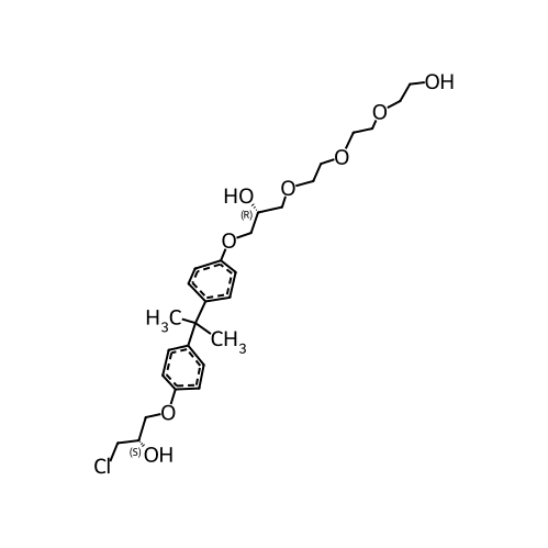 CC(C)(c1ccc(OC[C@H](O)CCl)cc1)c1ccc(OC[C@H](O)COCCOCCOCCO)cc1